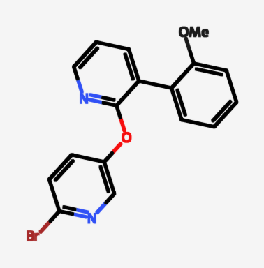 COc1ccccc1-c1cccnc1Oc1ccc(Br)nc1